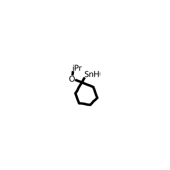 CC(C)O[C]1([SnH])CCCCC1